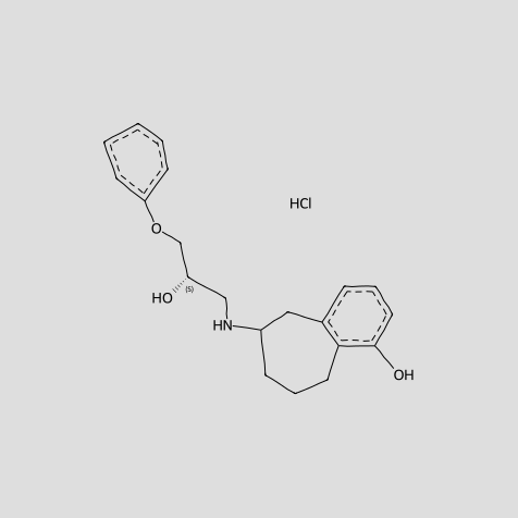 Cl.Oc1cccc2c1CCCC(NC[C@H](O)COc1ccccc1)C2